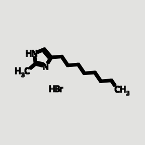 Br.CCCCCCCCc1c[nH]c(C)n1